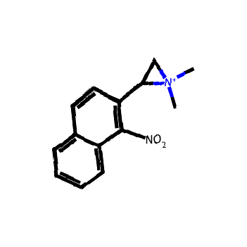 C[N+]1(C)CC1c1ccc2ccccc2c1[N+](=O)[O-]